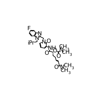 CC(C)Cn1c(Cn2cccc(NC(=O)[C@H](CC/C=C/C(=O)N(C)C)OC(=O)N(C)C)c2=O)nc2cc(F)ccc21